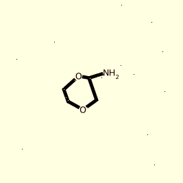 NC1COCCO1